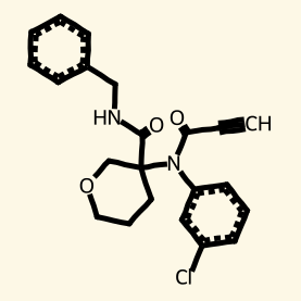 C#CC(=O)N(c1cccc(Cl)c1)C1(C(=O)NCc2ccccc2)CCCOC1